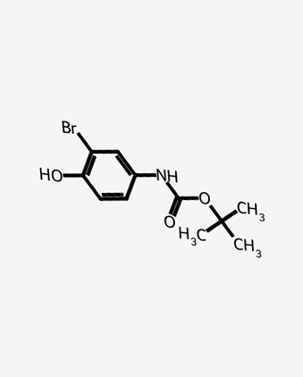 CC(C)(C)OC(=O)Nc1ccc(O)c(Br)c1